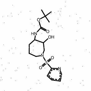 CC(C)(C)OC(=O)NC1CCCN(S(=O)(=O)c2ccccn2)CC1O